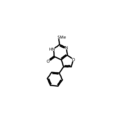 CSc1nc2occ(-c3ccccc3)c2c(=O)[nH]1